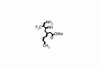 C=C/C=C\C=C(/CC(=N)/C(=C\N)C(F)(F)F)CC(=O)OC